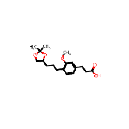 COc1cc(CCC(=O)O)ccc1CCCC1COC(C)(C)O1